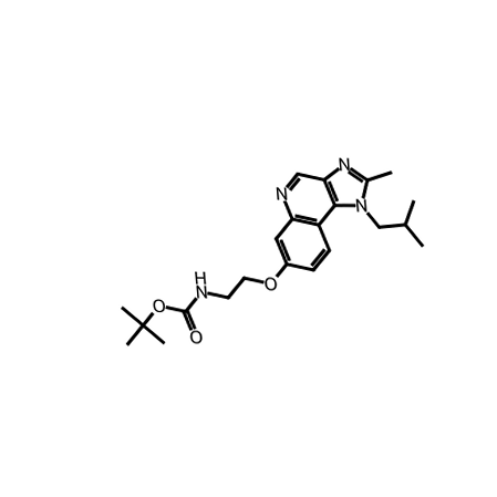 Cc1nc2cnc3cc(OCCNC(=O)OC(C)(C)C)ccc3c2n1CC(C)C